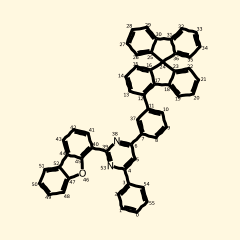 c1ccc(-c2cc(-c3cccc(-c4cccc5c4-c4ccccc4C54c5ccccc5-c5ccccc54)c3)nc(-c3cccc4c3oc3ccccc34)n2)cc1